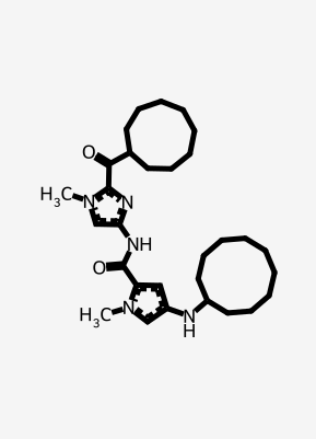 Cn1cc(NC2CCCCCCCCC2)cc1C(=O)Nc1cn(C)c(C(=O)C2CCCCCCCC2)n1